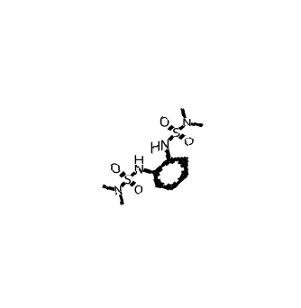 CN(C)S(=O)(=O)Nc1ccccc1NS(=O)(=O)N(C)C